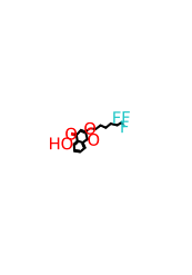 O=C1C(OCCCCCC(F)(F)F)=CC(=O)c2c(O)cccc21